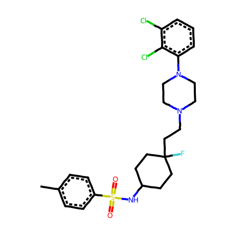 Cc1ccc(S(=O)(=O)NC2CCC(F)(CCN3CCN(c4cccc(Cl)c4Cl)CC3)CC2)cc1